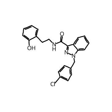 O=C(NCCc1ccccc1O)c1nn(Cc2ccc(Cl)cc2)c2ccccc12